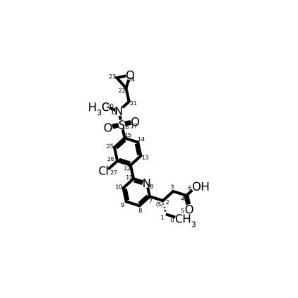 CC[C@@H](CC(=O)O)c1cccc(-c2ccc(S(=O)(=O)N(C)CC3CO3)cc2Cl)n1